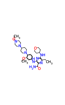 CCc1nc(C(N)=O)c(Nc2ccc(N3CCC(N4CCN(OC)CC4)CC3)c(OC)c2)nc1NC1CCOCC1